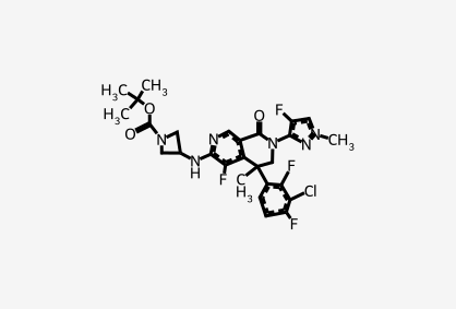 Cn1cc(F)c(N2CC(C)(c3ccc(F)c(Cl)c3F)c3c(cnc(NC4CN(C(=O)OC(C)(C)C)C4)c3F)C2=O)n1